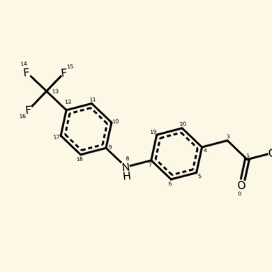 O=C(O)Cc1ccc(Nc2ccc(C(F)(F)F)cc2)cc1